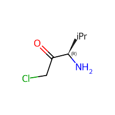 CC(C)[C@@H](N)C(=O)CCl